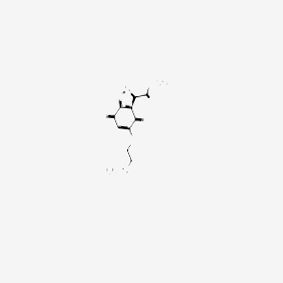 CNCCSC1=CC(=O)c2onc(C(=O)OC)c2C1=O